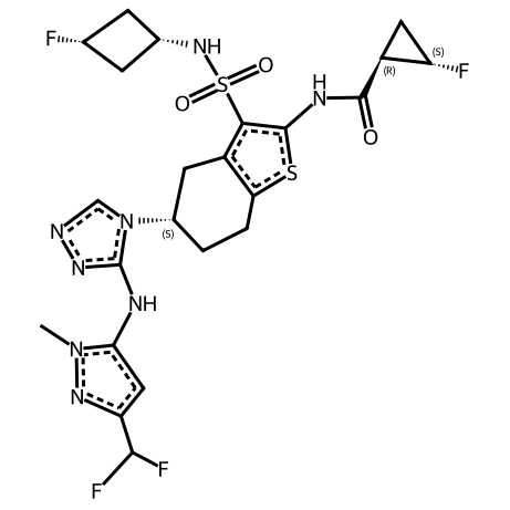 Cn1nc(C(F)F)cc1Nc1nncn1[C@H]1CCc2sc(NC(=O)[C@H]3C[C@@H]3F)c(S(=O)(=O)N[C@H]3C[C@@H](F)C3)c2C1